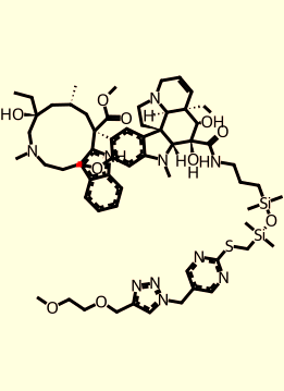 CC[C@]1(O)C[C@H](C)C[C@](C(=O)OC)(c2cc3c(cc2OC)N(C)[C@H]2[C@@](O)(C(=O)NCCC[Si](C)(C)O[Si](C)(C)CSc4ncc(Cn5cc(COCCOC)nn5)cn4)[C@H](O)[C@]4(CC)C=CCN5CC[C@]32[C@@H]54)c2[nH]c3ccccc3c2CCN(C)C1